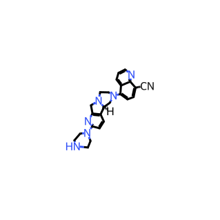 N#Cc1ccc(N2CCN3Cc4nc(N5CCNCC5)ccc4[C@@H]3C2)c2cccnc12